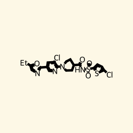 CCc1cnc(-c2cnc(N3CCC(C(=O)NS(=O)(=O)c4ccc(Cl)s4)CC3)c(Cl)c2)o1